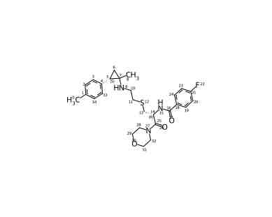 Cc1ccc([C@@H]2CC2(C)NCCSC[C@H](NC(=O)c2ccc(F)cc2)C(=O)N2CCOCC2)cc1